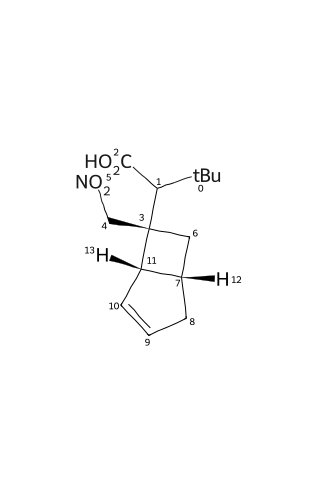 CC(C)(C)C(C(=O)O)[C@]1(C[N+](=O)[O-])C[C@@H]2CC=C[C@@H]21